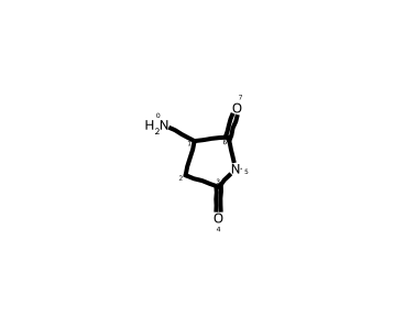 NC1CC(=O)[N]C1=O